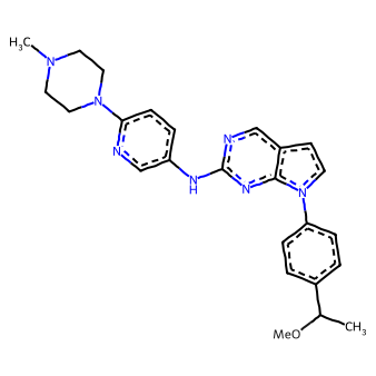 COC(C)c1ccc(-n2ccc3cnc(Nc4ccc(N5CCN(C)CC5)nc4)nc32)cc1